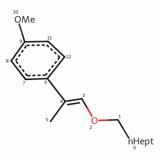 CCCCCCCCOC=C(C)c1ccc(OC)cc1